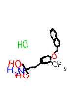 Cl.NC(CO)(CO)CCc1ccc(OCCc2ccc3ccccc3c2)c(C(F)(F)F)c1